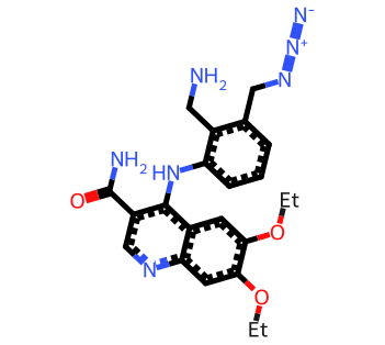 CCOc1cc2ncc(C(N)=O)c(Nc3cccc(CN=[N+]=[N-])c3CN)c2cc1OCC